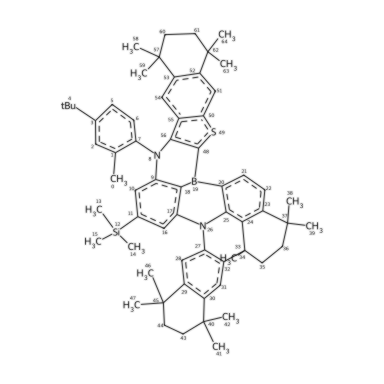 Cc1cc(C(C)(C)C)ccc1N1c2cc([Si](C)(C)C)cc3c2B(c2ccc4c5c2N3c2cc3c(cc2C5(C)CCC4(C)C)C(C)(C)CCC3(C)C)c2sc3cc4c(cc3c21)C(C)(C)CCC4(C)C